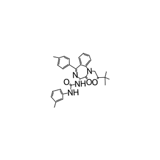 Cc1ccc(C2=N[C@@H](NC(=O)Nc3cccc(C)c3)C(=O)N(CC(=O)C(C)(C)C)c3ccccc32)cc1